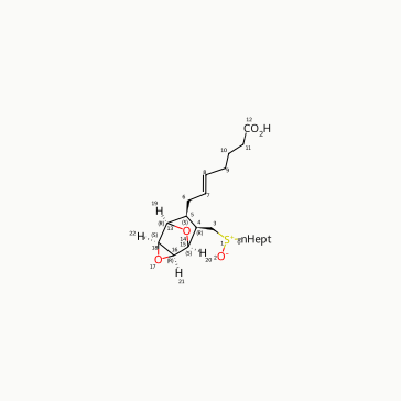 CCCCCCC[S+]([O-])C[C@@H]1[C@H](CC=CCCCC(=O)O)[C@H]2O[C@@H]1[C@H]1O[C@H]12